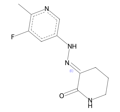 Cc1ncc(N/N=C2\CCCNC2=O)cc1F